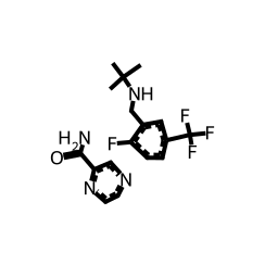 CC(C)(C)NCc1cc(C(F)(F)F)ccc1F.NC(=O)c1cnccn1